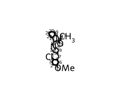 COc1ccc(Cl)c(CC2CCN(CC3C(=O)N(C)c4ccccc43)CC2)c1